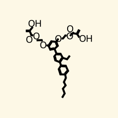 C=C(CO)C(=O)OCCOc1cc(OCCOC(=O)C(=C)CO)cc(-c2ccc(-c3ccc(CCCCCC)cc3)c(CC)c2)c1